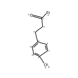 CCC(=O)CCc1ccc(C(F)(F)F)cc1